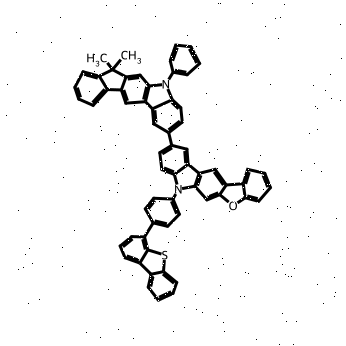 CC1(C)c2ccccc2-c2cc3c4cc(-c5ccc6c(c5)c5cc7c(cc5n6-c5ccc(-c6cccc8c6sc6ccccc68)cc5)oc5ccccc57)ccc4n(-c4ccccc4)c3cc21